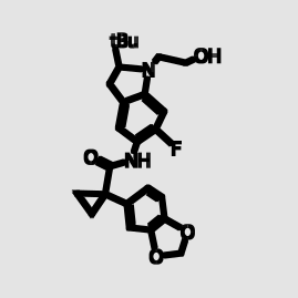 CC(C)(C)C1Cc2cc(NC(=O)C3(c4ccc5c(c4)OCO5)CC3)c(F)cc2N1CCO